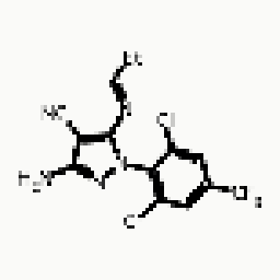 CCC=Nc1c(C#N)c(N)nn1-c1c(Cl)cc(C(F)(F)F)cc1Cl